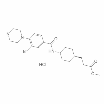 COC(=O)CC[C@H]1CC[C@H](NC(=O)c2ccc(N3CCNCC3)c(Br)c2)CC1.Cl